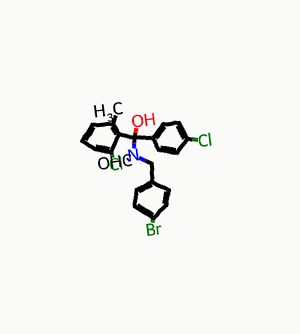 Cc1cccc(Cl)c1C(O)(c1ccc(Cl)cc1)N(C=O)Cc1ccc(Br)cc1